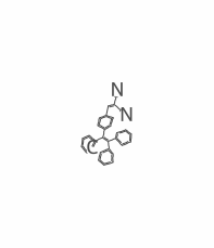 N#CC(C#N)=Cc1ccc(C(=C(c2ccccc2)c2ccccc2)c2ccccc2)cc1